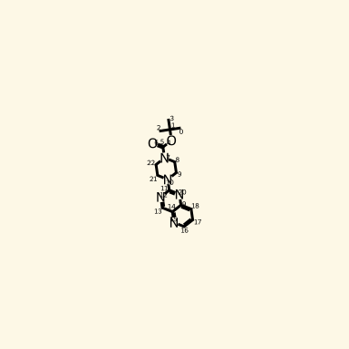 CC(C)(C)OC(=O)N1CCN(c2ncc3ncccc3n2)CC1